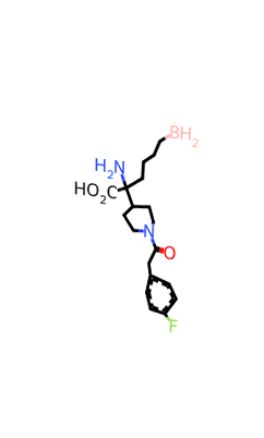 BCCCCC(N)(C(=O)O)C1CCN(C(=O)Cc2ccc(F)cc2)CC1